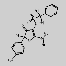 [2H]N([2H])C1=C(OS(=O)(=O)C([2H])([2H])c2ccccc2)C(=O)C([2H])(c2ccc(C(F)(F)F)cc2)O1